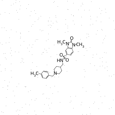 Cc1ccc(CN2CCC(CNS(=O)(=O)c3ccc4c(c3)n(C)c(=O)n4C)CC2)cc1